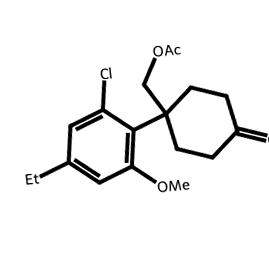 CCc1cc(Cl)c(C2(COC(C)=O)CCC(=O)CC2)c(OC)c1